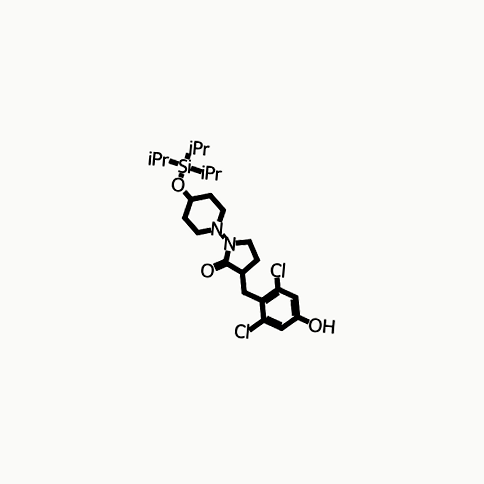 CC(C)[Si](OC1CCN(N2CCC(Cc3c(Cl)cc(O)cc3Cl)C2=O)CC1)(C(C)C)C(C)C